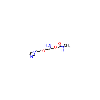 CNC(=O)COCC(N)CCOCCCn1ccnc1